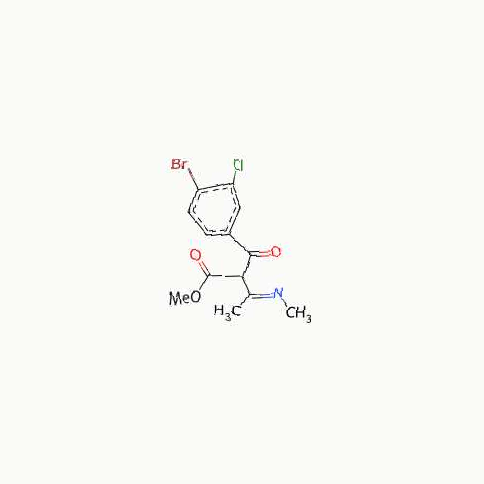 CN=C(C)C(C(=O)OC)C(=O)c1ccc(Br)c(Cl)c1